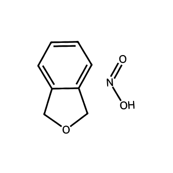 O=NO.c1ccc2c(c1)COC2